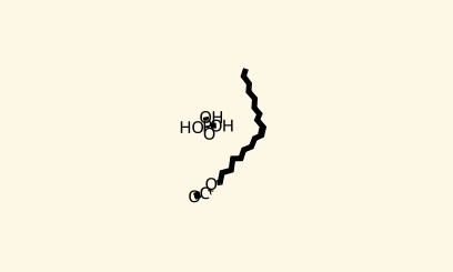 CCCCCCCC/C=C\CCCCCCCCOC=C=O.O=P(O)(O)O